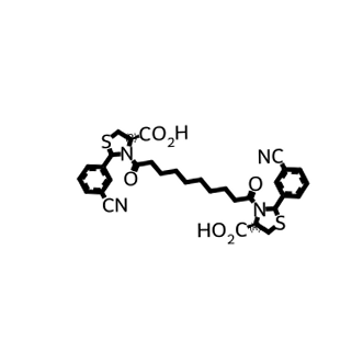 N#Cc1cccc(C2SC[C@@H](C(=O)O)N2C(=O)CCCCCCCCC(=O)N2C(c3cccc(C#N)c3)SC[C@H]2C(=O)O)c1